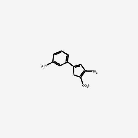 Nc1cccc(-c2cc(N)c(C(=O)O)s2)c1